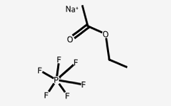 CCOC(C)=O.F[P-](F)(F)(F)(F)F.[Na+]